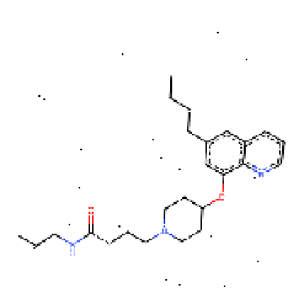 CCCCc1cc(OC2CCN(CCCC(=O)NCCC)CC2)c2ncccc2c1